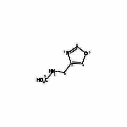 O=C(O)NCc1cocn1